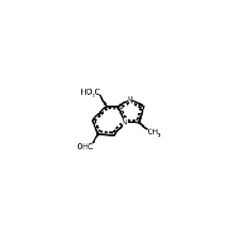 Cc1cnc2c(C(=O)O)cc(C=O)cn12